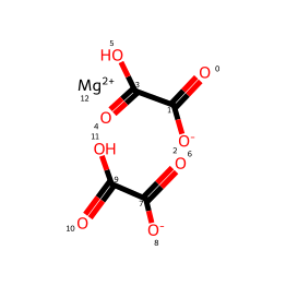 O=C([O-])C(=O)O.O=C([O-])C(=O)O.[Mg+2]